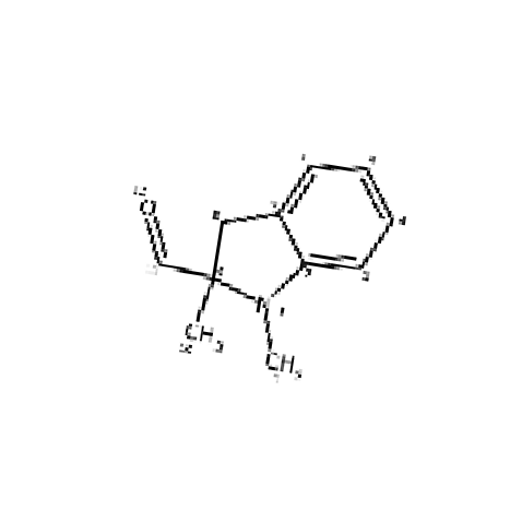 CN1c2ccccc2CC1(C)C=O